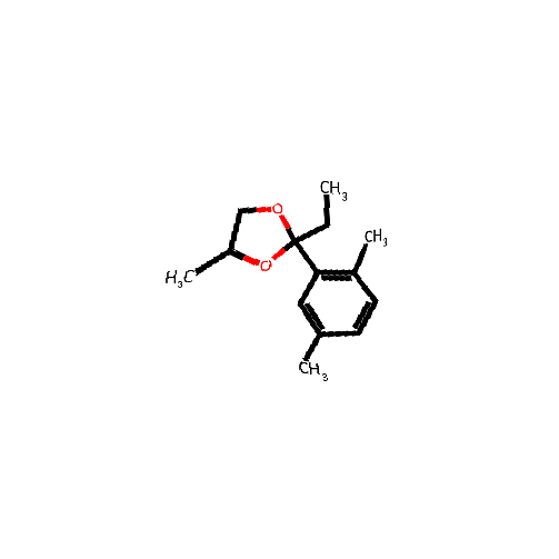 CCC1(c2cc(C)ccc2C)OCC(C)O1